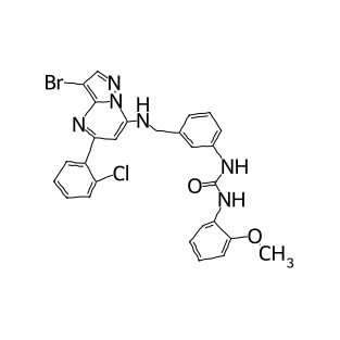 COc1ccccc1NC(=O)Nc1cccc(CNc2cc(-c3ccccc3Cl)nc3c(Br)cnn23)c1